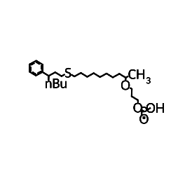 CCCCC(CCSCCCCCCCCC(C)OCCCO[P](=O)O)c1ccccc1